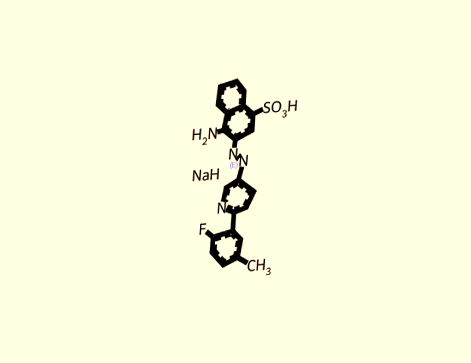 Cc1ccc(F)c(-c2ccc(/N=N/c3cc(S(=O)(=O)O)c4ccccc4c3N)cn2)c1.[NaH]